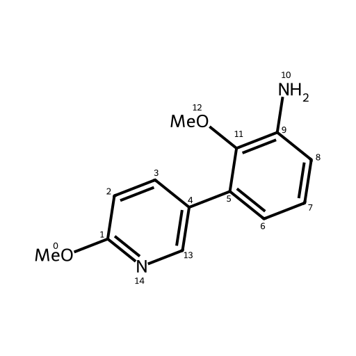 COc1ccc(-c2cccc(N)c2OC)cn1